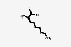 CC(=CCCCCCN)C(=O)O